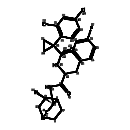 O=C(N[C@@H]1CN2CCC1CC2)C(Cc1ccc(F)cc1Cl)NC(=O)C1(c2ccc(Cl)cc2Cl)CC1